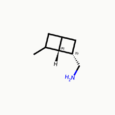 CC1CC2C[C@H](CN)[C@H]12